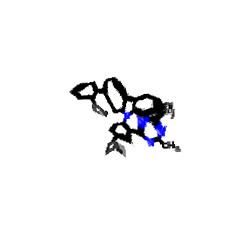 Cc1nc(C)nc(-c2cc(C#N)ccc2-n2c3ccccc3c3ccc(-c4ccccc4C#N)cc32)n1